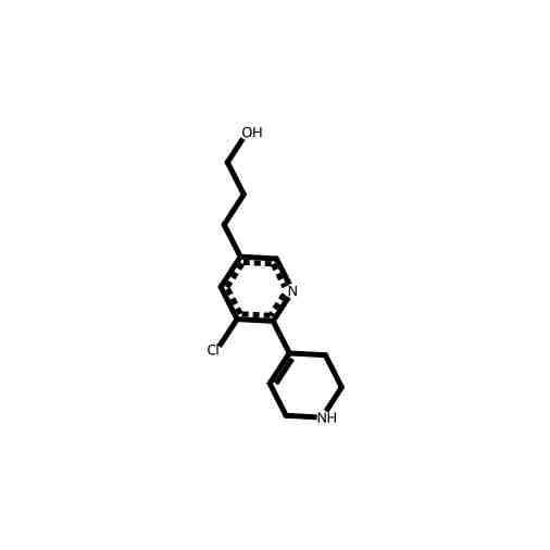 OCCCc1cnc(C2=CCNCC2)c(Cl)c1